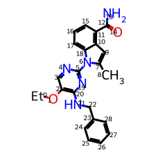 CCOc1cnc(-n2c(C)cc3c(C(N)=O)cccc32)nc1NCc1ccccc1